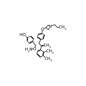 C=C(c1cccc(C)c1C)[C@@H](c1ccc(OC2CN(CCC)C2)cc1)C(ON)c1ccc(O)cc1